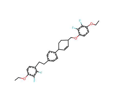 CCOc1ccc(CCc2ccc(C3C=CC(COc4ccc(OCC)c(F)c4F)CC3)cc2)c(F)c1F